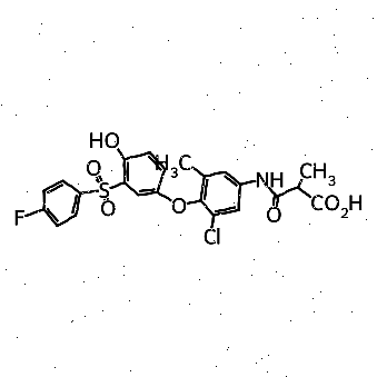 Cc1cc(NC(=O)C(C)C(=O)O)cc(Cl)c1Oc1ccc(O)c(S(=O)(=O)c2ccc(F)cc2)c1